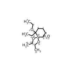 CCOC1(CC)CCCC[Si]1(OCC)OCC.O